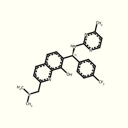 Cc1ccnc(N[C@@H](c2ccc(C(F)(F)F)cc2)c2ccc3ccc(CN(C)C)nc3c2O)n1